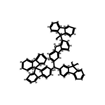 CC1(C)c2ccccc2-c2ccc(N(c3ccc4c(c3)C3(c5ccccc5-c5ccccc53)c3ccccc3-4)c3ccc4oc5c(C6(C)c7ccccc7-c7ccccc76)cccc5c4c3)cc21